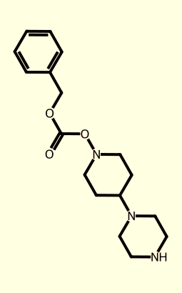 O=C(OCc1ccccc1)ON1CCC(N2CCNCC2)CC1